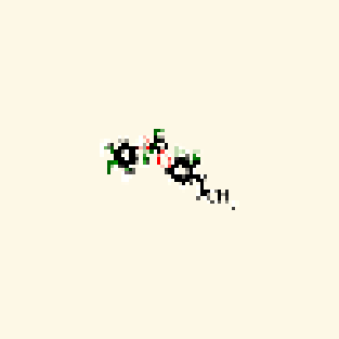 CCCc1ccc(OCC(F)(F)Oc2cc(F)c(F)c(F)c2)c(F)c1F